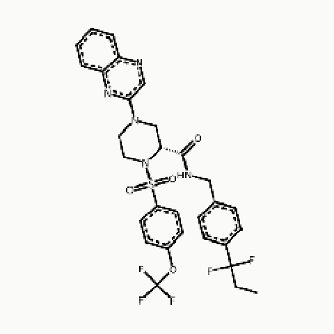 CCC(F)(F)c1ccc(CNC(=O)[C@H]2CN(c3cnc4ccccc4n3)CCN2S(=O)(=O)c2ccc(OC(F)(F)F)cc2)cc1